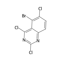 Clc1nc(Cl)c2c(Br)c(Cl)ccc2n1